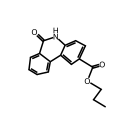 CCCOC(=O)c1ccc2[nH]c(=O)c3ccccc3c2c1